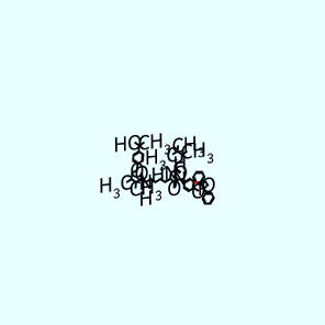 CC(O)c1ccc(OCC(C)C(C)C(=O)NCCCCC(NC(=O)CCC(C)C(C)C)C(=O)Nc2ccc(OP(=O)(c3ccccc3)c3ccccc3)cc2)cc1